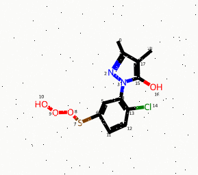 Cc1nn(-c2cc(SOOO)ccc2Cl)c(O)c1C